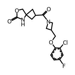 O=C1NC2(CO1)CC(C(=O)N1CC(COc3ccc(F)cc3Cl)C1)C2